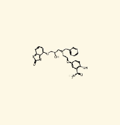 NC(=O)c1cc(OCCN(Cc2ccccc2)CC(O)COc2cccc3c2=NC(=O)N=3)ccc1O